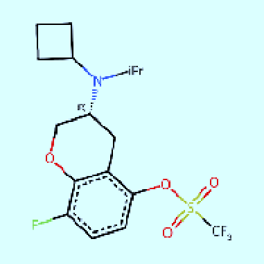 CC(C)N(C1CCC1)[C@H]1COc2c(F)ccc(OS(=O)(=O)C(F)(F)F)c2C1